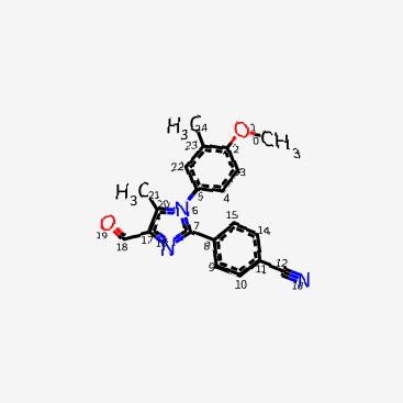 COc1ccc(-n2c(-c3ccc(C#N)cc3)nc(C=O)c2C)cc1C